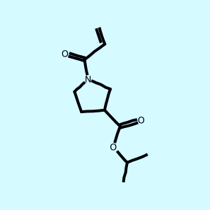 C=CC(=O)N1CCC(C(=O)OC(C)C)C1